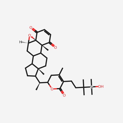 CC1=C(CCC(C)(C)[Si](C)(C)O)C(=O)OC([C@@H](C)C2CCC3C4C[C@H]5O[C@]56C(=O)C=CC(=O)[C@]6(C)C4CC[C@@]32C)C1